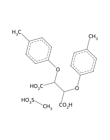 CS(=O)(=O)O.Cc1ccc(OC(C(=O)O)C(Oc2ccc(C)cc2)C(=O)O)cc1